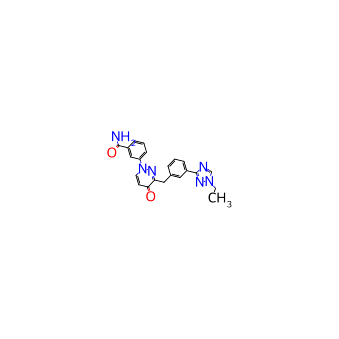 CCn1cnc(-c2cccc(Cc3nn(-c4cccc(C(N)=O)c4)ccc3=O)c2)n1